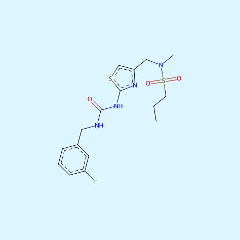 CCCS(=O)(=O)N(C)Cc1csc(NC(=O)NCc2cccc(F)c2)n1